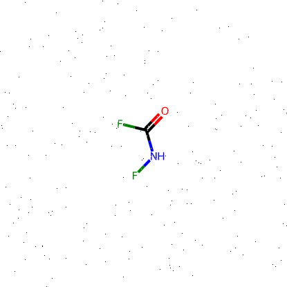 O=C(F)NF